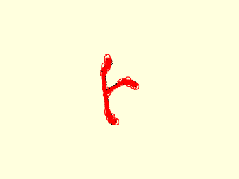 O=C(Oc1ccc2ccc(=O)oc2c1)c1ccc(OCCCCCCCCCCCCOCC(COCCCCCCCCCCCCOc2ccc(C(=O)Oc3ccc4ccc(=O)oc4c3)cc2)OCCCCCCCCCCCCOc2ccc(C(=O)Oc3ccc4ccc(=O)oc4c3)cc2)cc1